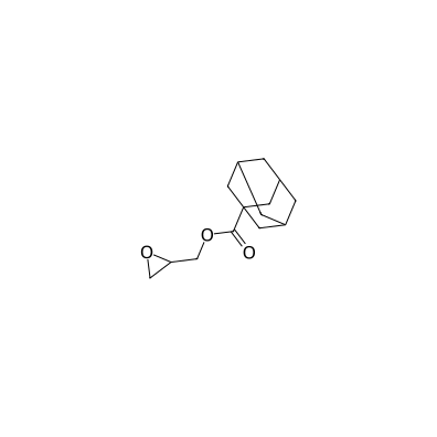 O=C(OCC1CO1)C12CC3CC(CC(C3)C1)C2